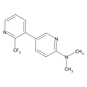 CN(C)c1ccc(-c2cccnc2C(F)(F)F)cn1